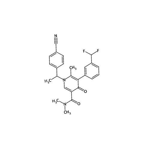 Cc1c(-c2cccc(C(F)F)c2)c(=O)c(C(=O)N(C)C)cn1C(C)c1ccc(C#N)cc1